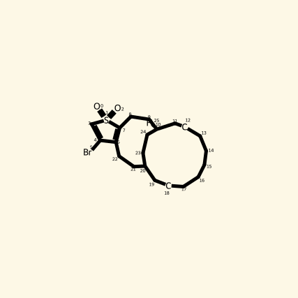 O=S1(=O)C=C(Br)C2=C1CC[C@H]1CCCCCCCCCC(CC2)CC1